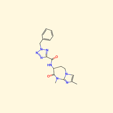 Cc1cn2c(n1)N(C)C(=O)C(NC(=O)c1nnn(Cc3ccccc3)n1)CC2